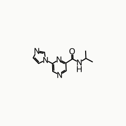 CC(C)NC(=O)c1cncc(-n2ccnc2)n1